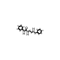 O=C(NCCNCc1ccccc1)Nc1ccccc1